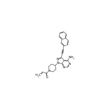 C=CC(=O)N1CCC(n2nc(C#Cc3ccc4ccccc4c3)c3c(N)ncnc32)CC1